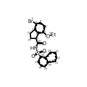 CCOc1ccc(Br)c2c1C(C(=O)NS(=O)(=O)c1cccc3ccccc13)CC2